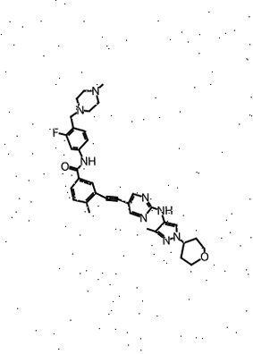 Cc1ccc(C(=O)Nc2ccc(CN3CCN(C)CC3)c(F)c2)cc1C#Cc1cnc(Nc2cn(C3CCOCC3)nc2C)nc1